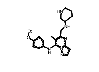 CCOc1ccc(Nc2c(C)c(CNC3CCCNC3)nc3ccnn23)cc1